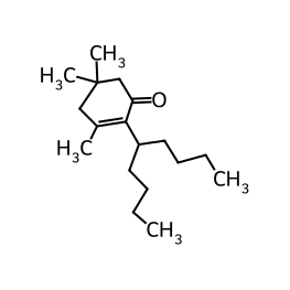 CCCCC(CCCC)C1=C(C)CC(C)(C)CC1=O